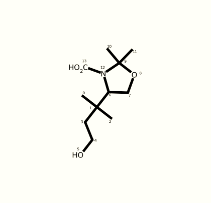 CC(C)(CCO)C1COC(C)(C)N1C(=O)O